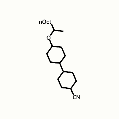 CCCCCCCCC(C)OC1CCC(C2CCC(C#N)CC2)CC1